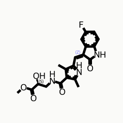 COC(=O)[C@@H](O)CNC(=O)c1c(C)[nH]c(/C=C2\C(=O)Nc3ccc(F)cc32)c1C